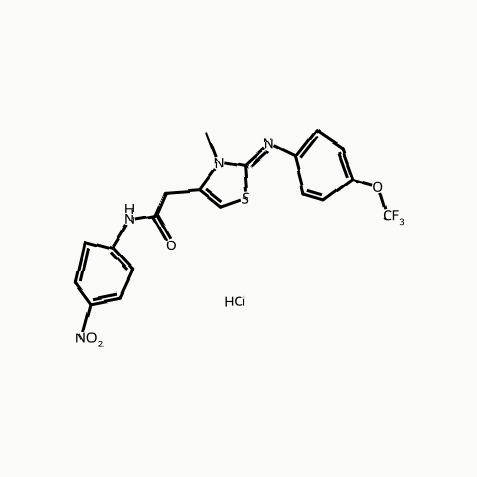 Cl.Cn1c(CC(=O)Nc2ccc([N+](=O)[O-])cc2)cs/c1=N\c1ccc(OC(F)(F)F)cc1